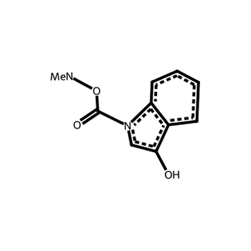 CNOC(=O)n1cc(O)c2ccccc21